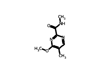 CNC(=O)c1ncc(C)c(OC)n1